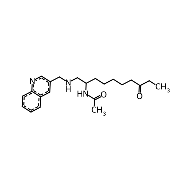 CCC(=O)CCCCCC(CNCc1cnc2ccccc2c1)NC(C)=O